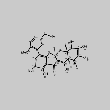 COc1ccc(CC(C)C)cc1-c1cc(C(C)(C)C)c(O)c2c1C[C@]1(C)C[C@]3(C)C(C(C)C)C(O)=C(C(C)=O)C(=O)[C@]3(O)C(O)=C1C2=O